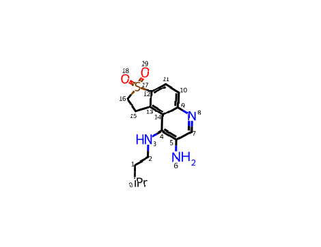 CC(C)CCNc1c(N)cnc2ccc3c(c12)CCS3(=O)=O